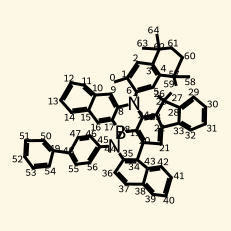 Cc1cc2c(cc1N1c3cc4ccccc4cc3B3c4c(cc5c(c41)C(C)(C)c1ccccc1-5)-c1c(ccc4ccccc14)N3c1ccc(-c3ccccc3)cc1)C(C)(C)CCC2(C)C